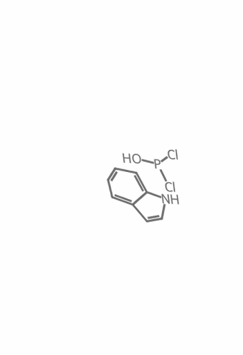 OP(Cl)Cl.c1ccc2[nH]ccc2c1